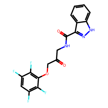 O=C(CNC(=O)c1n[nH]c2ccccc12)COc1c(F)c(F)cc(F)c1F